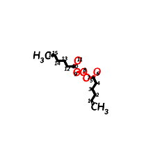 CCCCCC(=O)OOOC(=O)CCCCC